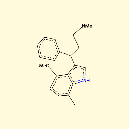 CNCCC(c1ccccc1)c1c[nH]c2c(C)ccc(OC)c12